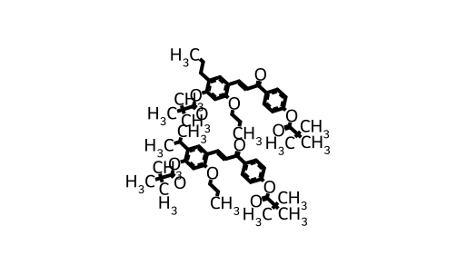 CCCOc1cc(OC(=O)C(C)(C)C)c(C(C)C)cc1C=CC(=O)c1ccc(OC(=O)C(C)(C)C)cc1.CCCOc1cc(OC(=O)C(C)(C)C)c(CCC)cc1C=CC(=O)c1ccc(OC(=O)C(C)(C)C)cc1